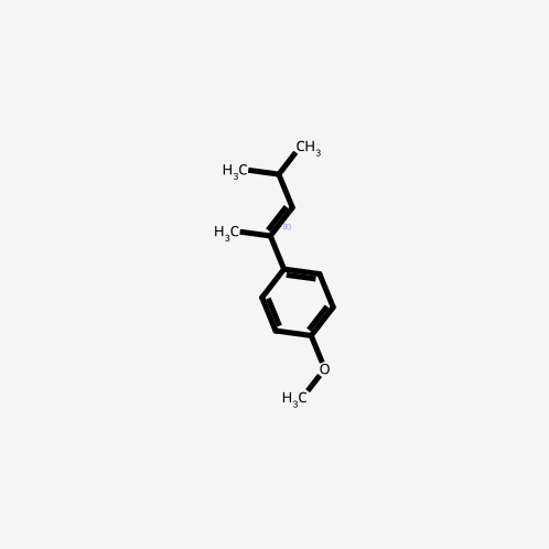 COc1ccc(/C(C)=C/C(C)C)cc1